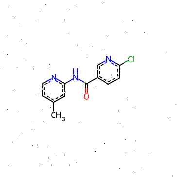 Cc1ccnc(NC(=O)c2ccc(Cl)nc2)c1